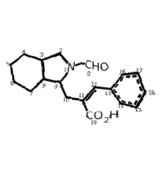 O=CN1CC2CCCCC2C1CC(=Cc1ccccc1)C(=O)O